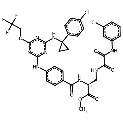 COC(=O)[C@H](CNC(=O)C(=O)Nc1cccc(Cl)c1)NC(=O)c1ccc(Nc2nc(NC3(c4ccc(Cl)cc4)CC3)nc(OCC(F)(F)F)n2)cc1